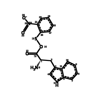 N[C@@H](Cc1c[nH]c2ccccc12)C(=O)OSc1ccccc1[N+](=O)[O-]